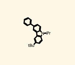 CC(C)n1c2ccc(-c3ccccc3)cc2c2cc(C(C)(C)C)ccc21